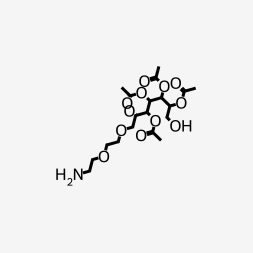 CC(=O)OC(CO)C(OC(C)=O)C(OC(C)=O)C(OC(C)=O)C(=O)COCCOCCN